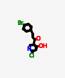 O=C(C=Cc1ccc(Br)cc1)c1cnc(Cl)cc1O